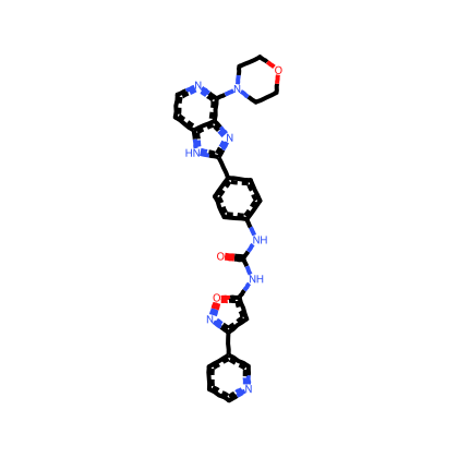 O=C(Nc1ccc(-c2nc3c(N4CCOCC4)nccc3[nH]2)cc1)Nc1cc(-c2cccnc2)no1